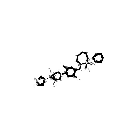 CS1(C)[C@H](c2ccccc2)CCCCN1Cc1cc(F)c(N2C[C@@H]3[C@H](C2)[C@H]3n2cnnc2)cc1F